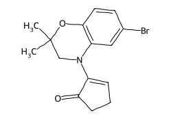 CC1(C)CN(C2=CCCC2=O)c2cc(Br)ccc2O1